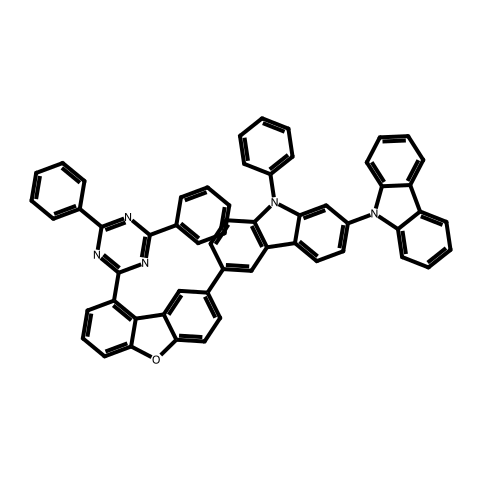 c1ccc(-c2nc(-c3ccccc3)nc(-c3cccc4oc5ccc(-c6ccc7c(c6)c6ccc(-n8c9ccccc9c9ccccc98)cc6n7-c6ccccc6)cc5c34)n2)cc1